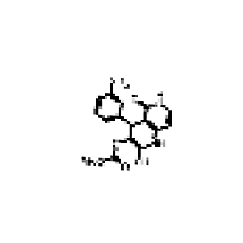 COC(=O)OC1=C(C)Nc2cc[nH]c(=O)c2C1c1cccc([N+](=O)[O-])c1